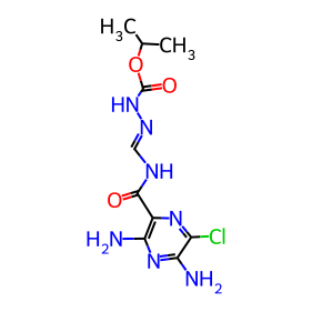 CC(C)OC(=O)NN=CNC(=O)c1nc(Cl)c(N)nc1N